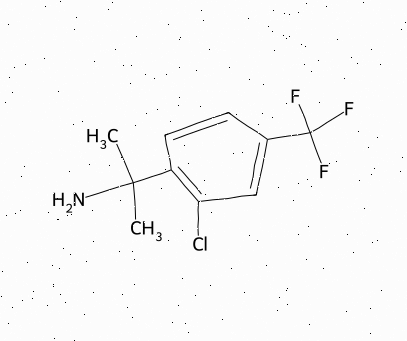 CC(C)(N)c1ccc(C(F)(F)F)cc1Cl